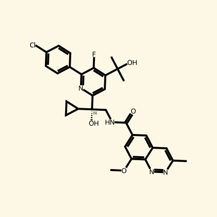 COc1cc(C(=O)NC[C@](O)(c2cc(C(C)(C)O)c(F)c(-c3ccc(Cl)cc3)n2)C2CC2)cc2cc(C)nnc12